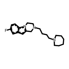 Fc1ccc2c(c1)cc1n2CCN(CCCCN2CCCCCC2)C1